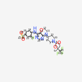 CC(C)(OC(=O)N1CCC(N2CCOc3c(Nc4ccc(S(C)(=O)=O)cc4F)ncnc32)CC1)C(F)(F)F